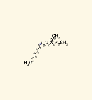 CCCCCCCC/C=C\CCCC(CCCC)OCC